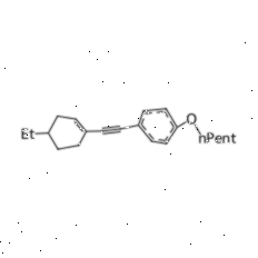 CCCCCOc1ccc(C#CC2=CCC(CC)CC2)cc1